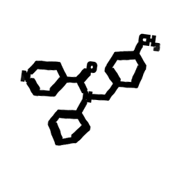 Cc1ccc(CN(C(=O)c2ccncc2)c2ccccc2)cc1